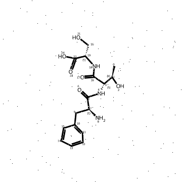 C[C@@H](O)[C@H](NC(=O)[C@@H](N)Cc1ccccc1)C(=O)N[C@@H](CO)C(=O)O